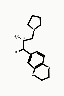 C[C@H](CN1CCCC1)C(O)c1ccc2c(c1)OCCO2